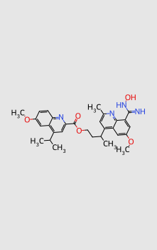 COc1ccc2nc(C(=O)OCCC(C)c3cc(C)nc4c(C(=N)NO)cc(OC)cc34)cc(C(C)C)c2c1